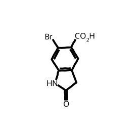 O=C1Cc2cc(C(=O)O)c(Br)cc2N1